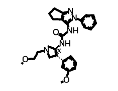 COCCN1C[C@@H](NC(=O)Nc2c3c(nn2-c2ccccc2)CCC3)[C@H](c2cccc(OC)c2)C1